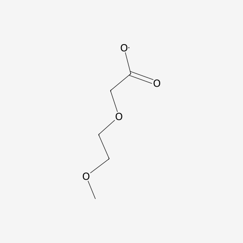 COCCOCC([O])=O